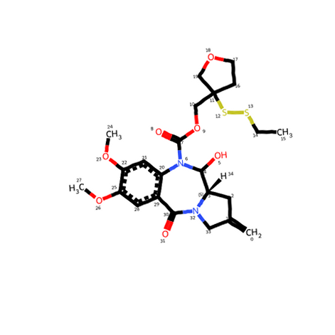 C=C1C[C@H]2C(O)N(C(=O)OCC3(SSCC)CCOC3)c3cc(OC)c(OC)cc3C(=O)N2C1